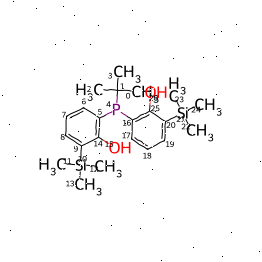 CC(C)(C)P(c1cccc([Si](C)(C)C)c1O)c1cccc([Si](C)(C)C)c1O